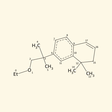 CCOCC(C)(C)c1[c]cc2c(c1)C(C)(C)CC=C2